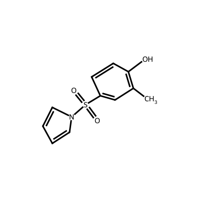 Cc1cc(S(=O)(=O)n2cccc2)ccc1O